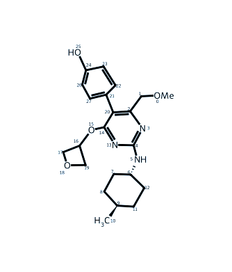 COCc1nc(N[C@H]2CC[C@H](C)CC2)nc(OC2COC2)c1-c1ccc(O)cc1